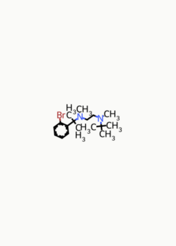 CN(CCN(C)C(C)(C)c1ccccc1Br)C(C)(C)C